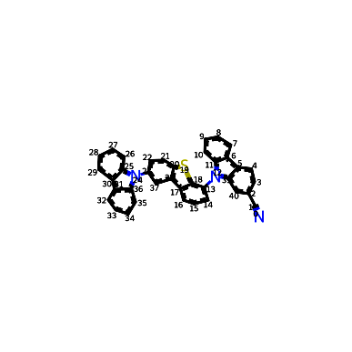 N#Cc1ccc2c3ccccc3n(-c3cccc4c3sc3ccc(-n5c6ccccc6c6ccccc65)cc34)c2c1